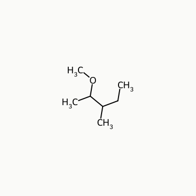 CCC(C)C(C)OC